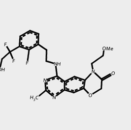 COCCN1C(=O)COc2cc3nc(C)nc(NCCc4cccc(C(F)(F)CO)c4F)c3cc21